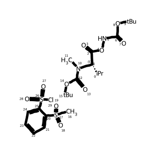 CC(C)[C@@H](C(=O)ONC(=O)OC(C)(C)C)N(C)C(=O)OC(C)(C)C.CS(=O)(=O)c1ccccc1S(=O)(=O)Cl